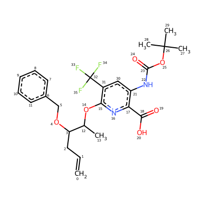 C=CCC(OCc1ccccc1)C(C)Oc1nc(C(=O)O)c(NC(=O)OC(C)(C)C)cc1C(F)(F)F